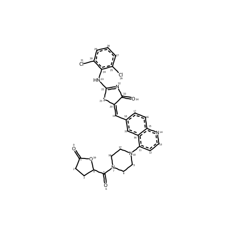 O=C1CCC(C(=O)N2CCN(c3ccnc4ccc(C=C5SC(Nc6c(Cl)cccc6Cl)=NC5=O)cc34)CC2)O1